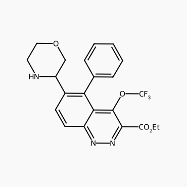 CCOC(=O)c1nnc2ccc(C3COCCN3)c(-c3ccccc3)c2c1OC(F)(F)F